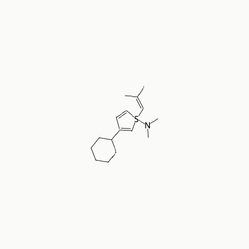 CC(C)=CS1(N(C)C)C=CC(C2CCCCC2)=C1